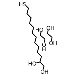 OCC(O)CCCCCCCCCCCS.OCCO.OCCO